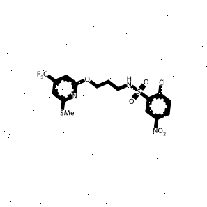 CSc1cc(C(F)(F)F)cc(OCCCNS(=O)(=O)c2cc([N+](=O)[O-])ccc2Cl)n1